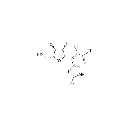 OC[C@H]1O[C@@H](c2c(Cl)c(Cl)cc3[nH]c(Br)nc23)[C@H](F)[C@@H]1O